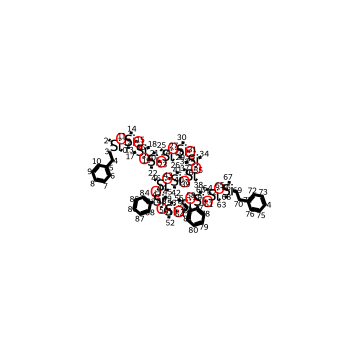 C[Si](C)(CCc1ccccc1)O[Si](C)(C)O[Si](C)(C)O[Si](C)(C)O[Si](C)(C)O[Si](C)(C)O[Si](C)(C)O[Si](C)(C)O[Si](C)(C)O[Si](C)(C)O[Si](C)(O[Si](C)(C)O[Si](C)(C)O[Si](C)(O[Si](C)(C)O[Si](C)(C)CCc1ccccc1)c1ccccc1)c1ccccc1